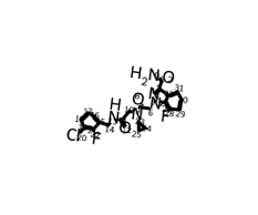 NC(=O)c1nn(CC(=O)N(CC(=O)NCc2cccc(Cl)c2F)C2CC2)c2c(F)cccc12